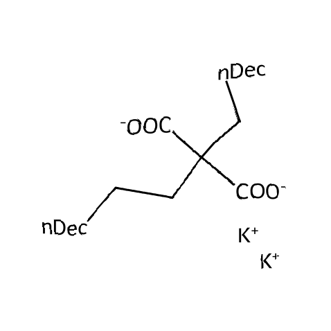 CCCCCCCCCCCCC(CCCCCCCCCCC)(C(=O)[O-])C(=O)[O-].[K+].[K+]